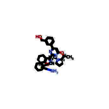 C[C@H](Oc1cc(-c2cccc(CO)c2)nc(-c2noc3c2CCC[C@@]32CCCc3sc(N)c(C#N)c32)n1)[C@@H]1CCCN1C